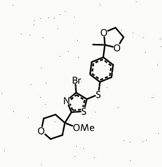 COC1(c2nc(Br)c(Sc3ccc(C4(C)OCCO4)cc3)s2)CCOCC1